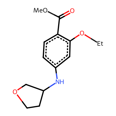 CCOc1cc(NC2CCOC2)ccc1C(=O)OC